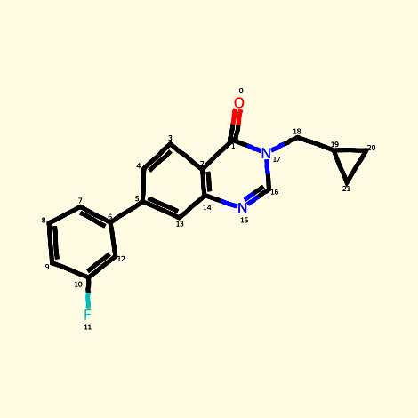 O=c1c2ccc(-c3cccc(F)c3)cc2ncn1CC1CC1